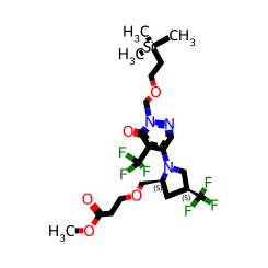 COC(=O)CCOC[C@@H]1C[C@H](C(F)(F)F)CN1c1cnn(COCC[Si](C)(C)C)c(=O)c1C(F)(F)F